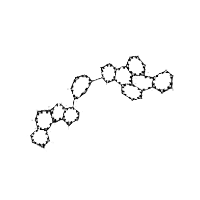 c1cc(-c2ccc3c(c2)c2cccc4c5ccccc5c5cccc3c5c42)cc(-c2cccc3c2sc2ccc4ccccc4c23)c1